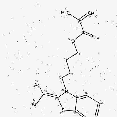 C=C(C)C(=O)OCCCCN1C(=C(C(C)=O)C(C)=O)Sc2ccccc21